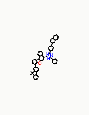 CC1(C)c2ccccc2-c2ccc(-c3cccc4c3oc3cc(-c5nc(-c6ccccc6)nc(-c6ccc(-c7ccc8c(c7)C=CCC8)cc6)n5)c5ccccc5c34)cc21